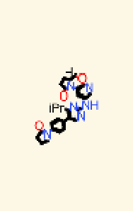 CC(C)c1nc(Nc2cnc3c(c2)N2C(=O)CC[C@H]2CO3)ncc1-c1ccc(N2CCCC2=O)cc1